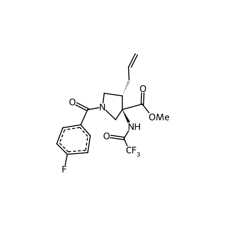 C=CC[C@H]1CN(C(=O)c2ccc(F)cc2)C[C@@]1(NC(=O)C(F)(F)F)C(=O)OC